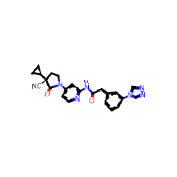 N#C[C@@]1(C2CC2)CCN(c2ccnc(NC(=O)Cc3cccc(-n4cnnc4)c3)c2)C1=O